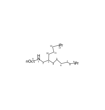 CCCCCCCCNCC(CCCCCC(C)C)CCCC(C)C